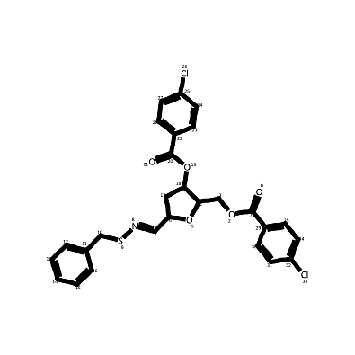 O=C(OCC1OC(C=NSCc2ccccc2)CC1OC(=O)c1ccc(Cl)cc1)c1ccc(Cl)cc1